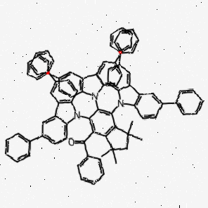 CC1(C)CC(C)(C)c2c(-n3c4ccc(-c5ccccc5)cc4c4cc(-c5ccccc5)ccc43)c(-n3c4ccc(-c5ccccc5)cc4c4cc(-c5ccccc5)ccc43)c(-n3c4ccc(-c5ccccc5)cc4c4cc(-c5ccccc5)ccc43)c(C(=O)c3ccccc3)c21